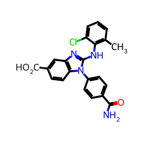 Cc1cccc(Cl)c1Nc1nc2cc(C(=O)O)ccc2n1-c1ccc(C(N)=O)cc1